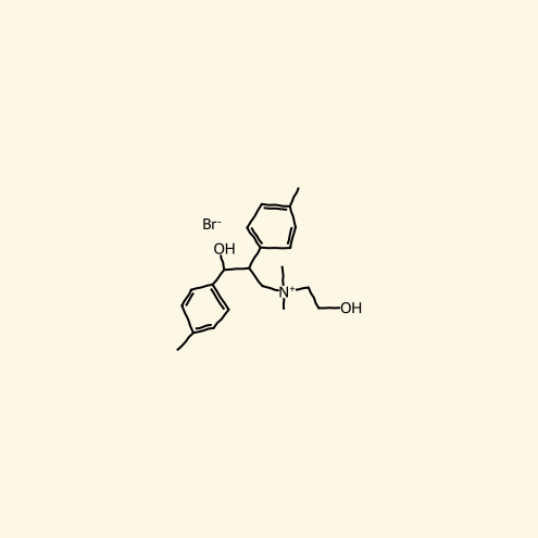 Cc1ccc(C(O)C(C[N+](C)(C)CCO)c2ccc(C)cc2)cc1.[Br-]